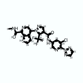 CNC(=O)c1ncc(-n2ncc(C(=O)Nc3cnc(-n4nccn4)c(Cl)c3)c2C(F)(F)F)c2ccsc12